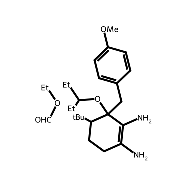 CCC(CC)OC1(Cc2ccc(OC)cc2)C(N)=C(N)CCC1C(C)(C)C.CCOC=O